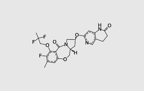 Cc1cc2c(c(OCC(C)(F)F)c1F)C(=O)N1C[C@@H](Oc3cc4c(cn3)CCC(=O)N4)C[C@@H]1CO2